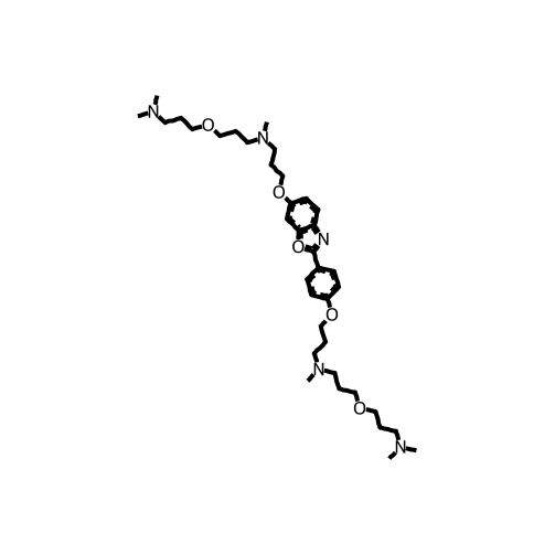 CN(C)CCCOCCCN(C)CCCOc1ccc(-c2nc3ccc(OCCCN(C)CCCOCCCN(C)C)cc3o2)cc1